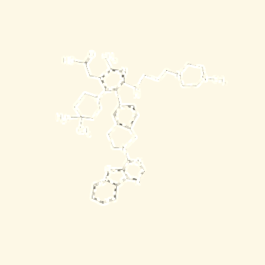 Cc1nc(NCCCN2CCN(C)CC2)c(-c2ccc3c(c2)CCN(c2ncnc4c2oc2ccccc24)C3)c(N2CCC(C)(C)CC2)c1CC(=O)O